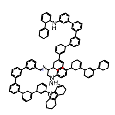 NN(CC(/N=C/c1cccc(-c2cccc(-c3cccc(C4C=CC=C(C5C=C(n6c7c(c8c6CCCC8)CCC=C7)C=CC5)C4)c3)c2)c1)C1C=CC=C(C2=CC(c3cccc(-c4cccc(-c5cccc(NC6C=CC=CC6C6=CCCC=C6)c5)c4)c3)CC=C2)C1)c1ccc(C2CCC=C(C3C=C(C4=CC=CCC4)C=CC3)C2)cc1